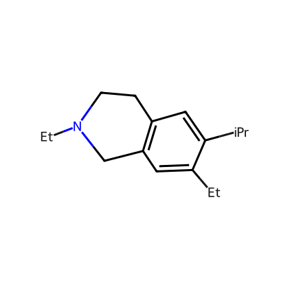 CCc1cc2c(cc1C(C)C)CCN(CC)C2